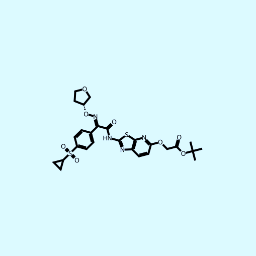 CC(C)(C)OC(=O)COc1ccc2nc(NC(=O)/C(=N/O[C@@H]3CCOC3)c3ccc(S(=O)(=O)C4CC4)cc3)sc2n1